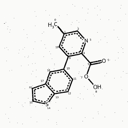 Cc1cnc(C(=O)OO)c(-c2ccc3sccc3c2)c1